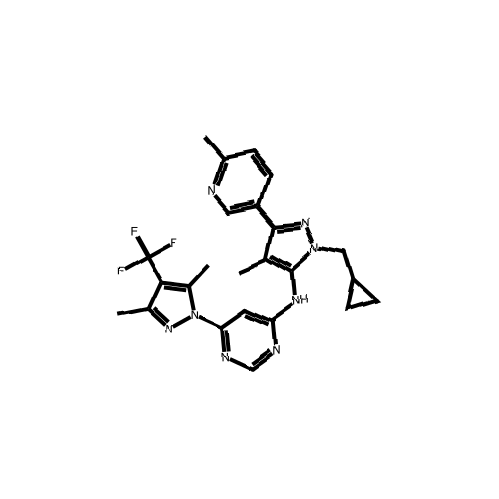 Cc1ccc(-c2nn(CC3CC3)c(Nc3cc(-n4nc(C)c(C(F)(F)F)c4C)ncn3)c2C)cn1